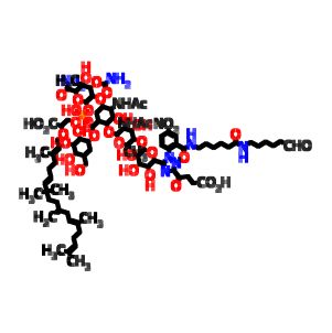 C=C(C/C=C(\C)CCC=C(C)C)CCC(C)(C)/C=C/CC/C(C)=C/COC(COP(=O)(O)OC1OC(C(N)=O)C(C)(O)C(OC(N)=O)C1OC1CC(COC2CC(CO)C(O)C(O)C2O)C(OC2OC(C)C(OC3OC(c4nc(C(=O)CCC(=O)O)nn4-c4ccc([N+](=O)[O-])cc4C(=O)NCCCCCC(=O)NCCCCCC=O)C(O)C(O)C3O)C(O)C2NC(C)=O)C(O)C1NC(C)=O)C(=O)O